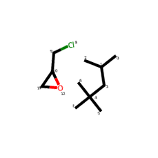 CC(C)CC(C)(C)C.ClCC1CO1